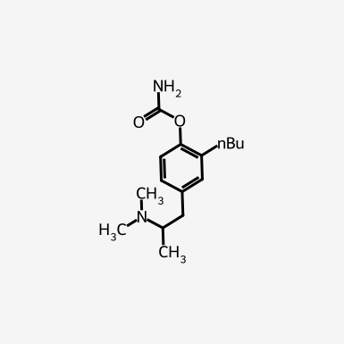 CCCCc1cc(CC(C)N(C)C)ccc1OC(N)=O